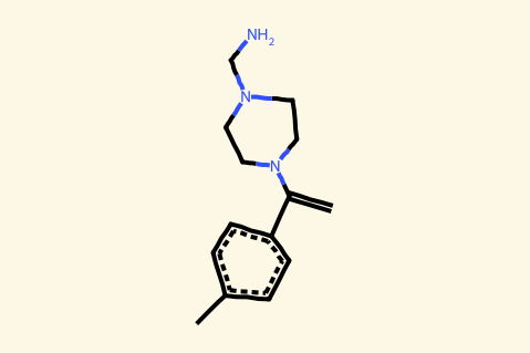 C=C(c1ccc(C)cc1)N1CCN(CN)CC1